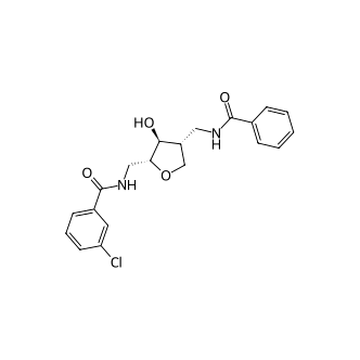 O=C(NC[C@@H]1CO[C@H](CNC(=O)c2cccc(Cl)c2)[C@H]1O)c1ccccc1